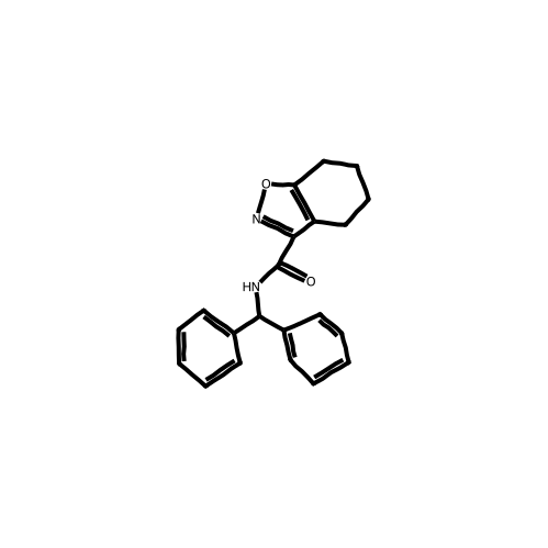 O=C(NC(c1ccccc1)c1ccccc1)c1noc2c1CCCC2